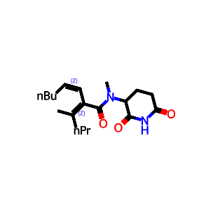 CCCC/C=C\C(C(=O)N(C)C1CCC(=O)NC1=O)=C(/C)CCC